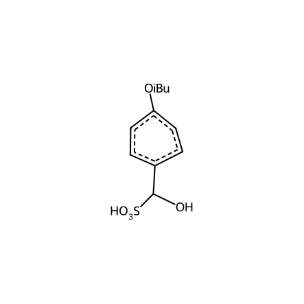 CC(C)COc1ccc(C(O)S(=O)(=O)O)cc1